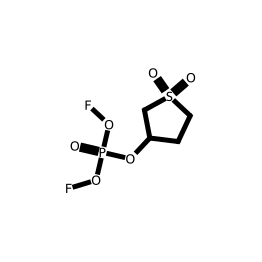 O=P(OF)(OF)OC1CCS(=O)(=O)C1